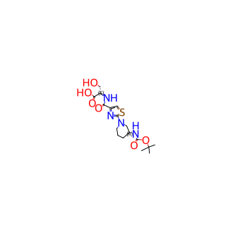 CC(C)(C)OC(=O)N[C@@H]1CCCN(c2nc(C(=O)N[C@@H](CO)C(=O)O)cs2)C1